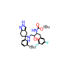 CC(C)(C)OC(=O)NC(Cc1cc(F)cc(F)c1)C(O)CNC1(c2cccc(C(C)(C)C)c2)CCc2n[nH]cc2C1